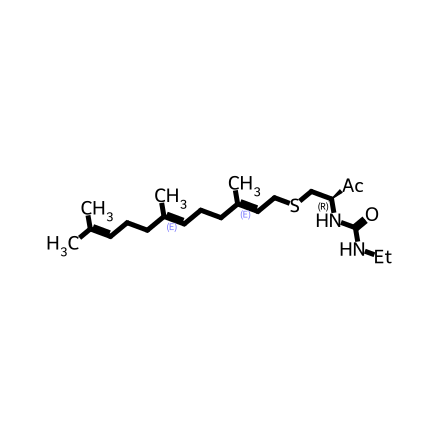 CCNC(=O)N[C@@H](CSC/C=C(\C)CC/C=C(\C)CCC=C(C)C)C(C)=O